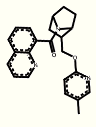 Cc1ccc(OCC2CC3CCC2N3C(=O)c2cccc3cccnc23)nc1